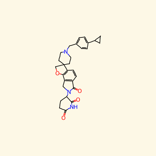 O=C1CCC(N2Cc3c(ccc4c3OCC43CCN(Cc4ccc(C5CC5)cc4)CC3)C2=O)C(=O)N1